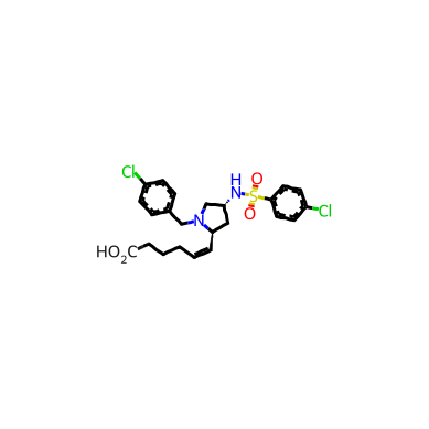 O=C(O)CCC/C=C\[C@@H]1C[C@@H](NS(=O)(=O)c2ccc(Cl)cc2)CN1Cc1ccc(Cl)cc1